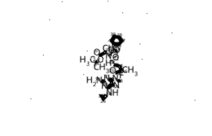 CC(C)OC(=O)[C@@H](C)N[P@@](=O)(OC[C@@H]1C[C@@](C)(F)[C@H](n2cnc3c(NC4CC4)nc(N)nc32)O1)Oc1ccccc1